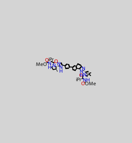 COC(=O)N[C@H](C(=O)N1CC[C@H](C)[C@H]1c1ncc(-c2ccc(-c3ccc4c(ccc5nc([C@@H]6C[Si](C)(C)CN6C(=O)[C@@H](NC(=O)OC)C(C)C)[nH]c54)c3)cc2)[nH]1)C(C)C